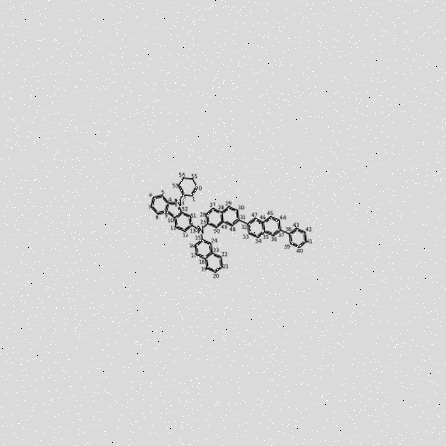 C1=CC(n2c3ccccc3c3ccc(N(c4ccc5ccccc5c4)c4ccc5ccc(-c6ccc7cc(-c8ccccc8)ccc7c6)cc5c4)cc32)=CCC1